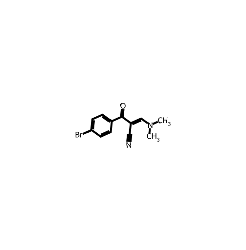 CN(C)C=C(C#N)C(=O)c1ccc(Br)cc1